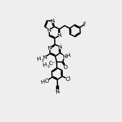 C[C@@]1(c2cc(O)c(C#N)c(Cl)c2)C(=O)Nc2nc(-c3cn4ccnc4c(Cc4cccc(F)c4)n3)nc(N)c21